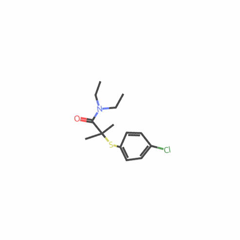 CCN(CC)C(=O)C(C)(C)Sc1ccc(Cl)cc1